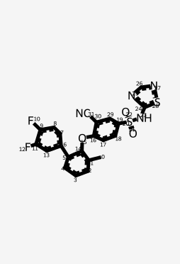 Cc1cccc(-c2ccc(F)c(F)c2)c1Oc1ccc(S(=O)(=O)Nc2ncns2)cc1C#N